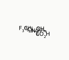 C#CCCC(O)=C(C#[N+]c1ccc(C(F)(F)F)cc1)C(=O)O